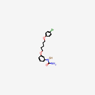 NC(=O)N(S)c1cccc(OCCCCCOc2ccc(Br)cc2)c1